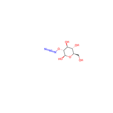 [N-]=[N+]=NO[C@@H]1[C@@H](O)[C@H](O)[C@@H](CO)O[C@H]1O